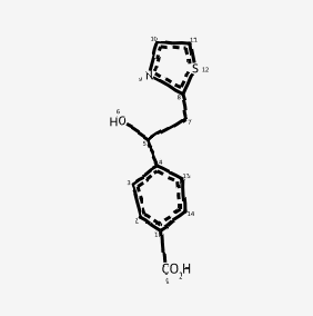 O=C(O)c1ccc(C(O)Cc2nccs2)cc1